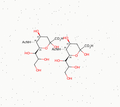 CC(=O)N[C@@H]1[C@@H](O)CC(O)(C(=O)O)O[C@H]1C(O)C(O)CO.CC(=O)N[C@@H]1[C@@H](O)CC(O)(C(=O)O)O[C@H]1C(O)C(O)CO